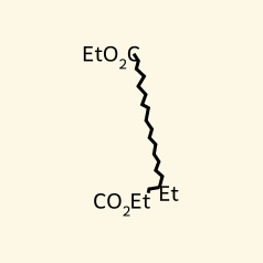 CCOC(=O)CCCCCCCCCCCCCCCC(CC)CC(=O)OCC